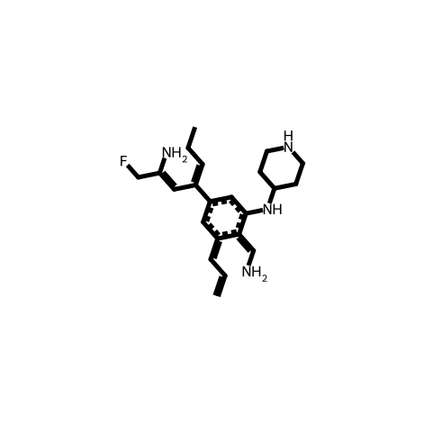 C=C/C=c1/cc(C(/C=C(\N)CF)=C/CC)cc(NC2CCNCC2)/c1=C/N